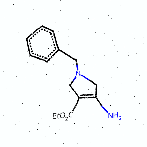 CCOC(=O)C1=C(N)CN(Cc2ccccc2)C1